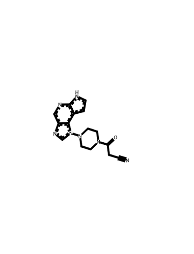 N#CCC(=O)N1CCN(n2cnc3cnc4[nH]ccc4c32)CC1